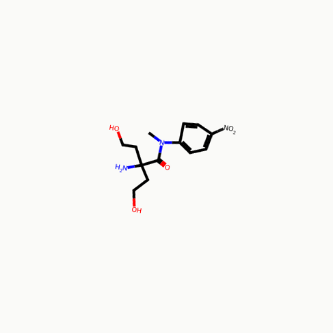 CN(C(=O)C(N)(CCO)CCO)c1ccc([N+](=O)[O-])cc1